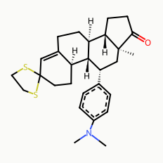 CN(C)c1ccc([C@H]2C[C@]3(C)C(=O)CC[C@H]3[C@@H]3CCC4=CC5(CC[C@@H]4[C@H]32)SCCS5)cc1